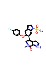 CCS(=O)(=O)n1ccc2cc(Oc3ccc(F)cc3)c(-c3cn(C)c(=O)c4[nH]ccc34)cc21